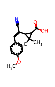 COc1ccc(/C=C(/C#N)C2C(C(=O)O)C2(C)C)cc1